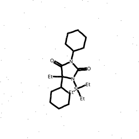 CCC1(C2CCCCC2)C(=O)N(C2CCCCC2)C(=O)N1[Si](CC)(CC)CC